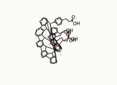 C[C@]12C3=C4C5=C1[C@@]1(c6ccc(CCC(=O)O)cc6)c6c7ccc8c6[C@]5(c5ccc(CCC(=O)O)cc5)c5c-8ccc6c5[C@]4(c4ccc(CCO)cc4)c4c-6ccc5c4[C@]3(c3ccc(CCO)cc3)c3c-5ccc4c3[C@]2(c2ccc(CCC(=O)O)cc2)c2c-4ccc-7c21